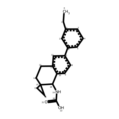 CCc1cccc(-c2ccc3c(c2)CCC2(CC2)C3NC(=O)O)c1